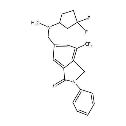 CN(Cc1cc2c(c(C(F)(F)F)c1)CN(c1ccccc1)C2=O)C1CCC(F)(F)C1